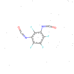 O=C=Nc1c(F)c(F)c(F)c(N=C=O)c1F